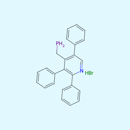 Br.PCc1c(-c2ccccc2)cnc(-c2ccccc2)c1-c1ccccc1